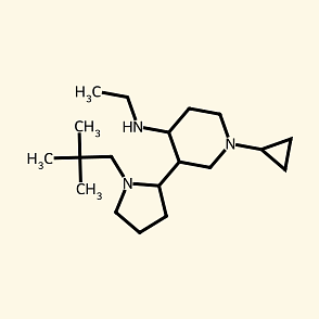 CCNC1CCN(C2CC2)CC1C1CCCN1CC(C)(C)C